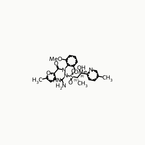 COc1cccc(OC)c1N(C(=O)c1ccc(C)o1)N(C(=N)N)S(=O)(=O)[C@@H](C)[C@H](O)c1ccc(C)cn1